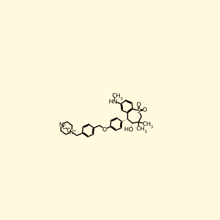 CNc1ccc2c(c1)[C@@H](c1ccc(OCc3ccc(C[N+]45CCN(CC4)CC5)cc3)cc1)[C@@H](O)C(C)(C)CS2(=O)=O